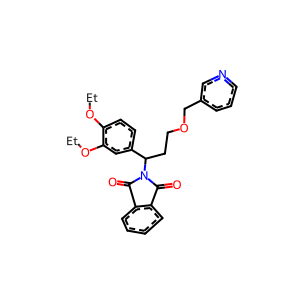 CCOc1ccc(C(CCOCc2cccnc2)N2C(=O)c3ccccc3C2=O)cc1OCC